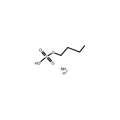 CCCCOS(=O)(=O)O.N.[H+]